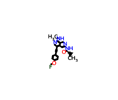 CNc1ncc(C#Cc2ccc(OCF)cc2)c2cc(NC(=O)[C@H]3C[C@H]3C)ncc12